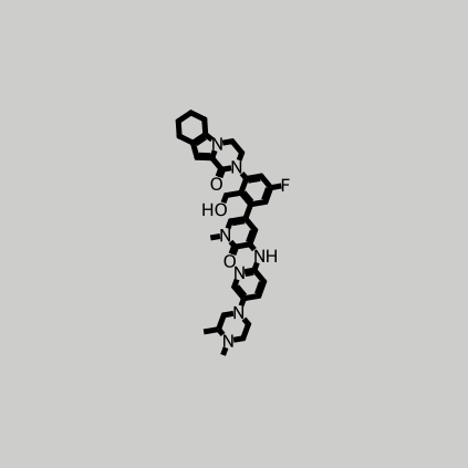 CC1CN(c2ccc(Nc3cc(-c4cc(F)cc(N5CCn6c(cc7c6CCCC7)C5=O)c4CO)cn(C)c3=O)nc2)CCN1C